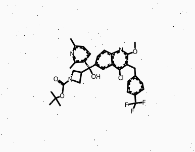 COc1nc2ccc(C(O)(c3ccc(C)nc3C)C3CN(C(=O)OC(C)(C)C)C3)cc2c(Cl)c1Cc1ccc(C(F)(F)F)cc1